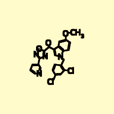 COc1ccc2c(c1)c(C(=O)c1nc(-c3cccnc3)no1)cn2Cc1ccc(Cl)cc1Cl